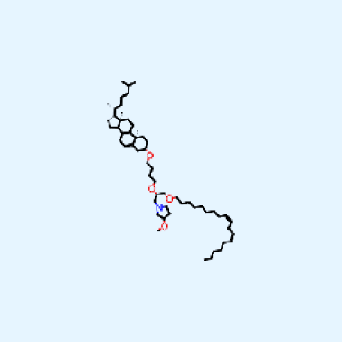 CCCCC/C=C\C/C=C\CCCCCCCCOCC(CN1CCC(OC)C1)OCCCCO[C@H]1CC[C@@]2(C)C(=CCC3C2CC[C@@]2(C)C3CC[C@@H]2[C@H](C)CCCC(C)C)C1